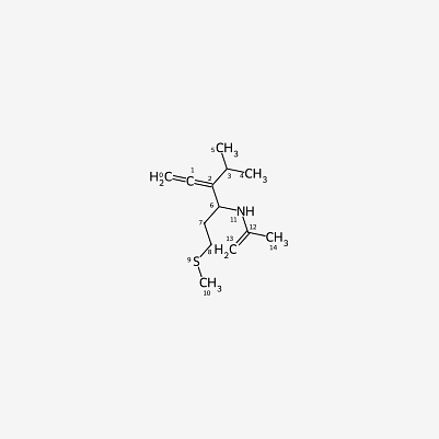 C=C=C(C(C)C)C(CCSC)NC(=C)C